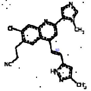 Cc1cc(/C=C/c2cc(-c3cncn3C)nc3cc(Cl)c(CCC#N)cc23)[nH]n1